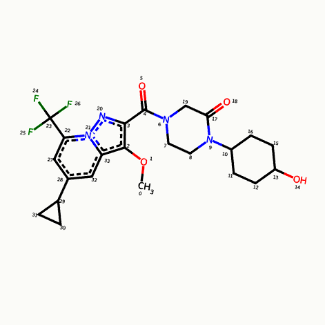 COc1c(C(=O)N2CCN(C3CCC(O)CC3)C(=O)C2)nn2c(C(F)(F)F)cc(C3CC3)cc12